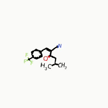 CC(C)CC(=O)C(C#N)=Cc1ccc(C(F)(F)F)cc1